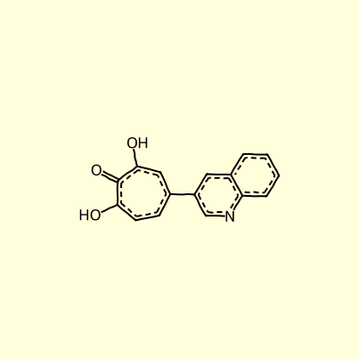 O=c1c(O)ccc(-c2cnc3ccccc3c2)cc1O